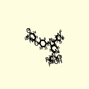 Cn1cc(-c2nn(C3CCC(Oc4ccc(=O)n(C)n4)CC3)c3cc(N(CC(F)(F)F)C(=O)O)ncc23)cn1